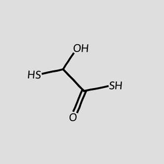 O=C(S)C(O)S